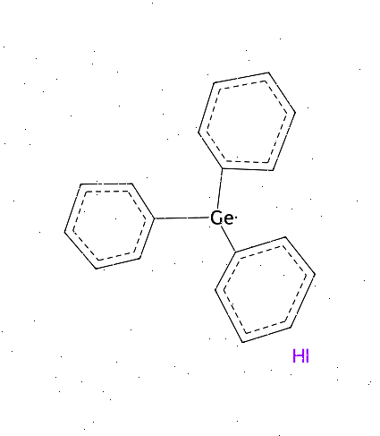 I.c1cc[c]([Ge]([c]2ccccc2)[c]2ccccc2)cc1